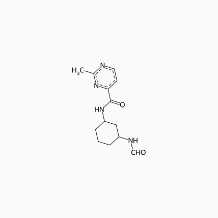 Cc1nccc(C(=O)NC2CCCC(NC=O)C2)n1